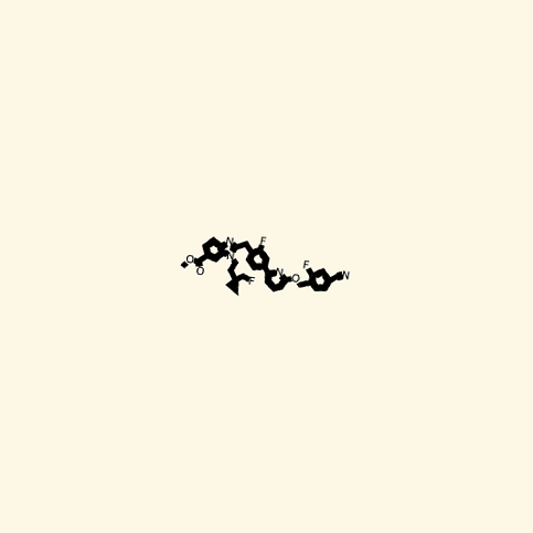 COC(=O)c1ccc2nc(Cc3ccc(-c4cccc(OCc5ccc(C#N)cc5F)n4)cc3F)n(CCC3(CF)CC3)c2c1